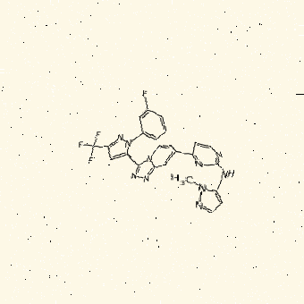 Cn1nccc1Nc1nccc(-c2ccn3c(-c4cc(C(F)(F)F)nn4-c4cccc(F)c4)nnc3c2)n1